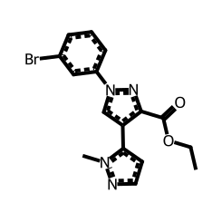 CCOC(=O)c1nn(-c2cccc(Br)c2)cc1-c1ccnn1C